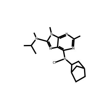 Cc1nc(N(Cl)C2CC3CCC2C3)c2nc(N(C)C(C)C)n(C)c2n1